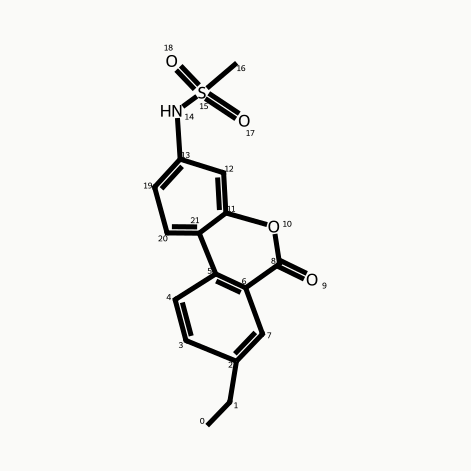 CCc1ccc2c(c1)c(=O)oc1cc(NS(C)(=O)=O)ccc12